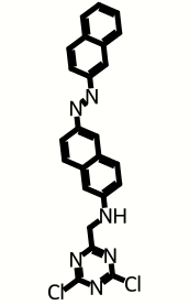 Clc1nc(Cl)nc(CNc2ccc3cc(N=Nc4ccc5ccccc5c4)ccc3c2)n1